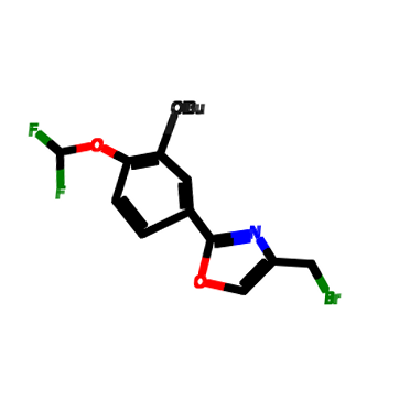 CC(C)COc1cc(-c2nc(CBr)co2)ccc1OC(F)F